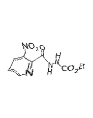 CCOC(=O)NNC(=O)c1ncccc1[N+](=O)[O-]